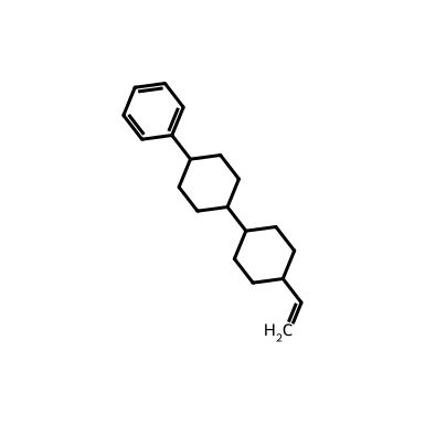 C=CC1CCC(C2CCC(c3ccccc3)CC2)CC1